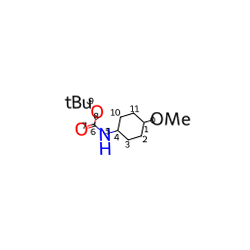 COC1CCC(NC(=O)OC(C)(C)C)CC1